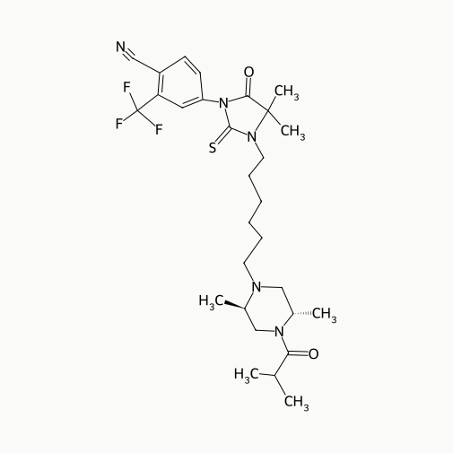 CC(C)C(=O)N1C[C@@H](C)N(CCCCCCN2C(=S)N(c3ccc(C#N)c(C(F)(F)F)c3)C(=O)C2(C)C)C[C@@H]1C